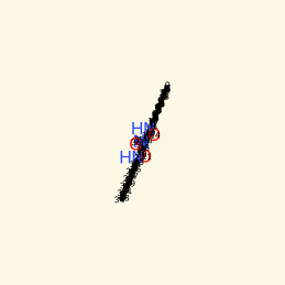 CCCCCCCCCCCCNC(=O)CCN(CCC(=O)NCCCCCCCCCCCC)N=O